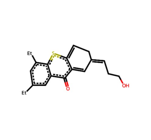 CCc1cc(CC)c2sc3c(c(=O)c2c1)=CC(=CCCO)CC=3